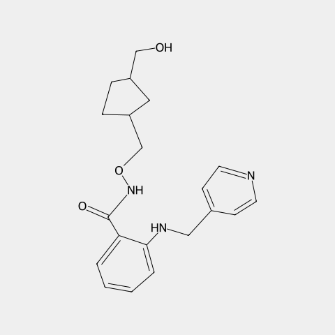 O=C(NOCC1CCC(CO)C1)c1ccccc1NCc1ccncc1